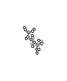 c1ccc2c(c1)-c1cccc3c(-c4nc(-c5ccnc6oc7ccccc7c56)nc(-c5ccc(-[n+]6ccc(-c7cc(-c8nc(-c9ccc%10ccccc%10c9)nc(-c9ccc%10ccccc%10c9)n8)cc8ccccc78)c7c8ccccc8oc76)c6oc7ccccc7c56)n4)ccc-2c13